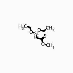 CCO[SiH](CC(=S)OC)OCC